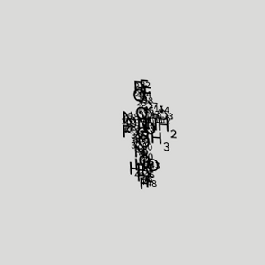 COC(=O)N(C(=O)[C@@H](N)[C@H](c1ccccc1)c1ccc(OC(F)(F)F)cc1)c1cncc(F)c1CC[C@@H]1CN[C@H](COC(=O)NCC(F)(F)F)CO1